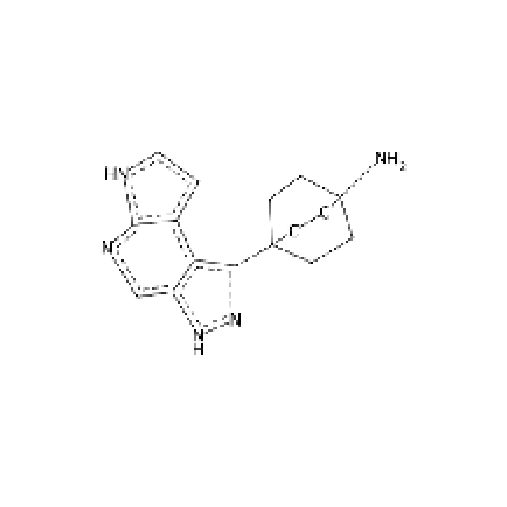 NC12CCC(c3n[nH]c4cnc5[nH]ccc5c34)(CC1)CC2